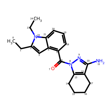 CCc1cc2c(C(=O)n3nc(N)c4c3CCCC4)cccc2n1CC